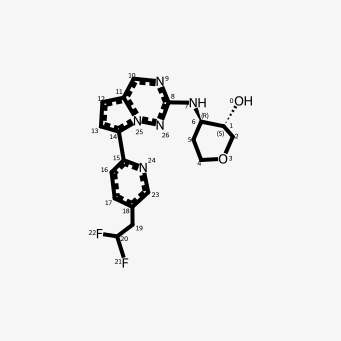 O[C@@H]1COCC[C@H]1Nc1ncc2ccc(-c3ccc(CC(F)F)cn3)n2n1